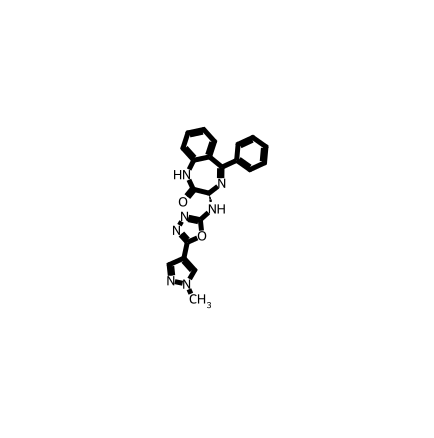 Cn1cc(-c2nnc(N[C@H]3N=C(c4ccccc4)c4ccccc4NC3=O)o2)cn1